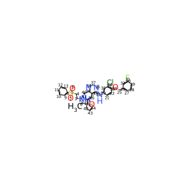 CC(NCCS(=O)(=O)c1ccccc1)C1(c2cc3c(Nc4ccc(OCc5cccc(F)c5)c(Cl)c4)ncnc3cn2)CC=CO1